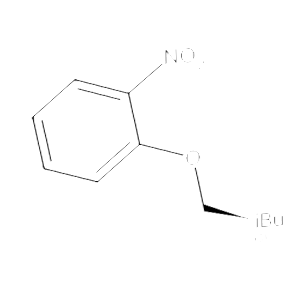 CC[C@H](C)COc1ccccc1[N+](=O)[O-]